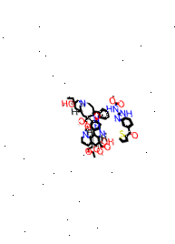 CC[C@]1(O)C[C@@H]2C[N@@](CCc3c([nH]c4ccccc34)[C@@](C(=O)OC)(c3cc4c(cc3OC)N(C)[C@H]3[C@@](O)(C(=O)OC)[C@H](OC(C)=O)[C@]5(CC)C=CCN6CC[C@]43[C@@H]65)C2)C1.COC(=O)Nc1nc2cc(C(=O)c3cccs3)ccc2[nH]1